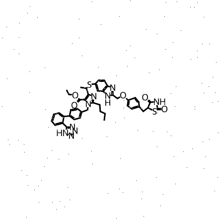 CCCCc1nc(C(C)Sc2ccc3nc(COc4ccc(CC5SC(=O)NC5=O)cc4)[nH]c3c2)c(C(=O)OCC)n1Cc1ccc(-c2ccccc2-c2nnn[nH]2)cc1